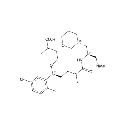 CNC[C@H](C[C@H]1CCCOC1)NC(=O)N(C)CC[C@H](OCCN(C)C(=O)O)c1cc(Cl)ccc1C